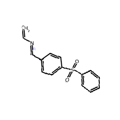 C=C/N=C/c1ccc(S(=O)(=O)c2ccccc2)cc1